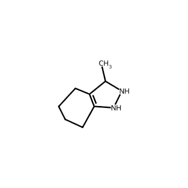 CC1NNC2=C1CCCC2